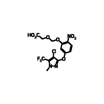 Cn1nc(Oc2ccc([N+](=O)[O-])c(OCOCC(=O)O)c2)c(Cl)c1C(F)(F)F